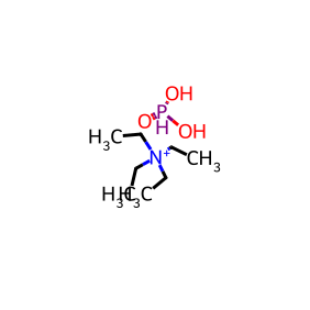 CC[N+](CC)(CC)CC.O=[PH](O)O